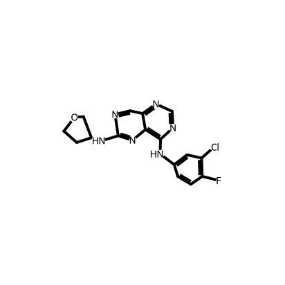 Fc1ccc(Nc2ncnc3cnc(NC4CCOC4)nc23)cc1Cl